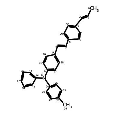 CC=Cc1ccc(C=Cc2ccc(N(c3ccccc3)c3ccc(C)cc3)cc2)cc1